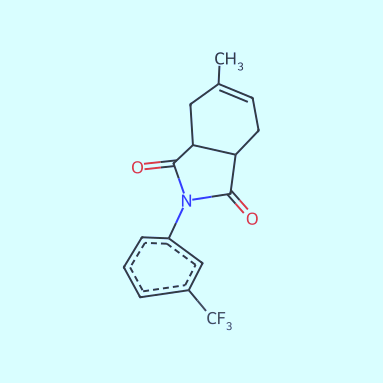 CC1=CCC2C(=O)N(c3cccc(C(F)(F)F)c3)C(=O)C2C1